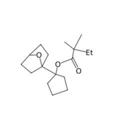 CCC(C)(C)C(=O)OC1(C23CCC(CC2)O3)CCCC1